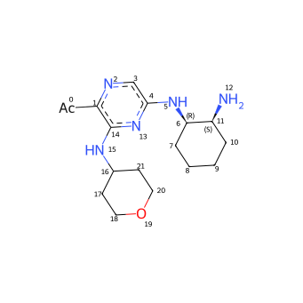 CC(=O)c1ncc(N[C@@H]2CCCC[C@@H]2N)nc1NC1CCOCC1